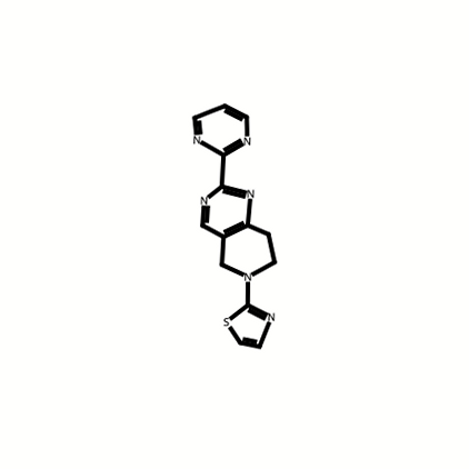 c1cnc(-c2ncc3c(n2)CCN(c2nccs2)C3)nc1